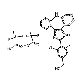 O=C(O)C(F)(F)F.O=C(O)C(F)(F)F.OCc1cc(Cl)c(-c2nc3c([nH]2)-c2ccncc2Nc2ncccc2-3)c(Cl)c1